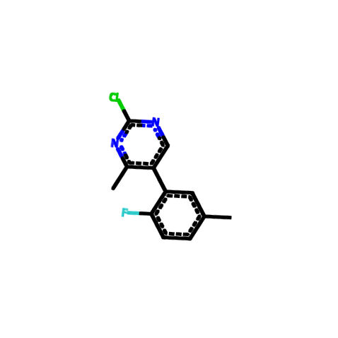 Cc1ccc(F)c(-c2cnc(Cl)nc2C)c1